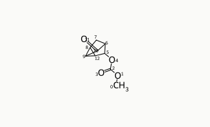 COC(=O)OC1C2CC3C(C2=O)C31